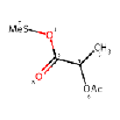 CSOC(=O)C(C)OC(C)=O